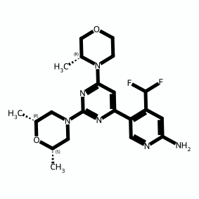 C[C@@H]1CN(c2nc(-c3cnc(N)cc3C(F)F)cc(N3CCOC[C@H]3C)n2)C[C@H](C)O1